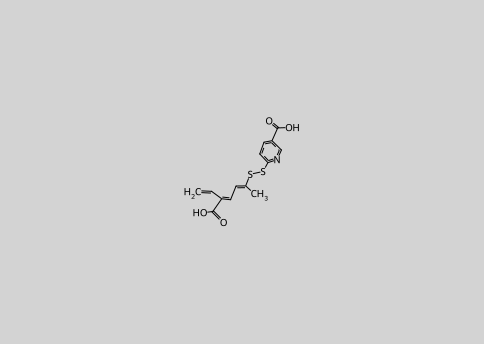 C=C/C(=C\C=C(/C)SSc1ccc(C(=O)O)cn1)C(=O)O